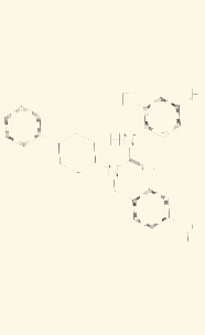 COc1ccc(CN(C(=O)Nc2ccc(F)cc2F)C2CCC(c3ccccc3)CC2)cc1